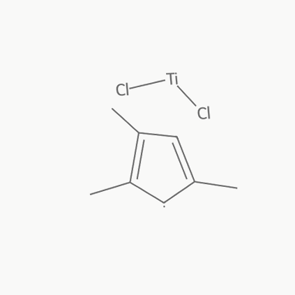 CC1=CC(C)=C(C)[CH]1.[Cl][Ti][Cl]